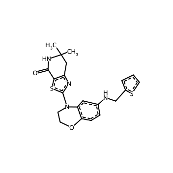 CC1(C)Cc2nc(N3CCOc4ccc(NCc5cccs5)cc43)sc2C(=O)N1